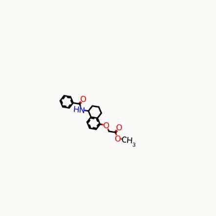 COC(=O)COc1cccc2c1CCCC2NC(=O)c1ccccc1